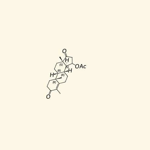 CC(=O)OC1CC(=O)[C@@]2(C)CC[C@@H]3[C@@H](CCC4=C(C)C(=O)CC[C@@]43C)[C@H]12